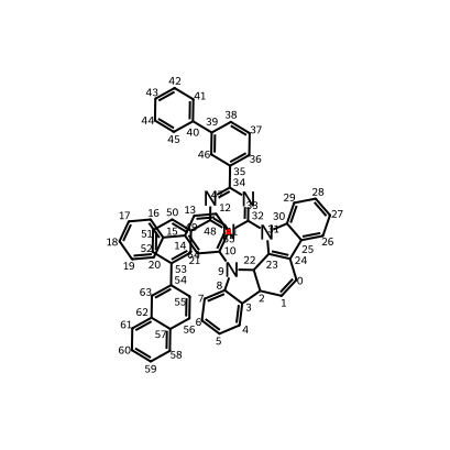 C1=CC2c3ccccc3N(c3cccc(-c4ccccc4)c3)C2c2c1c1ccccc1n2-c1nc(-c2cccc(-c3ccccc3)c2)nc(-c2cccc(-c3ccc4ccccc4c3)c2)n1